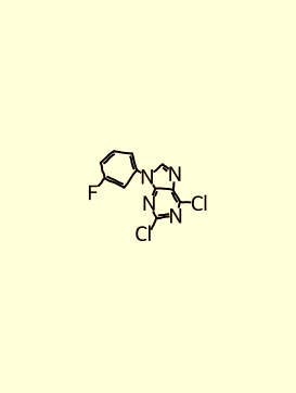 Fc1cccc(-n2cnc3c(Cl)nc(Cl)nc32)c1